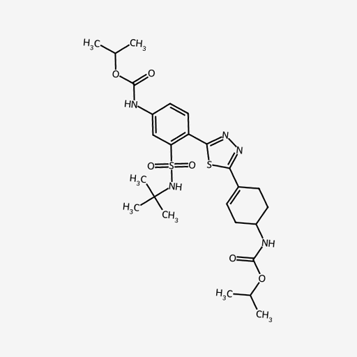 CC(C)OC(=O)Nc1ccc(-c2nnc(C3=CCC(NC(=O)OC(C)C)CC3)s2)c(S(=O)(=O)NC(C)(C)C)c1